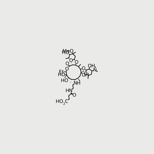 CC[C@H]1OC(=O)[C@H](C)[C@@H](OC2CC(C)(OC)C(O)C(C)O2)C(C)[C@@H](OC2OC(C)CC(N(C)C)C2O)[C@](C)(O)C[C@@H](C)[C@H](NCCNC(=O)CCC(=O)O)[C@H](C)[C@@H](O)[C@]1(C)O